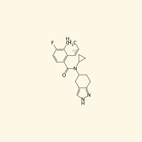 C/C=C\c1c(C(=O)N(C2CC2)C2CCc3n[nH]cc3C2)ccc(F)c1C